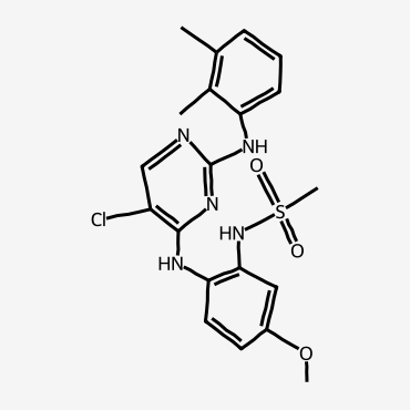 COc1ccc(Nc2nc(Nc3cccc(C)c3C)ncc2Cl)c(NS(C)(=O)=O)c1